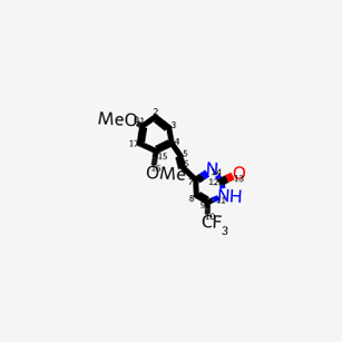 COc1ccc(C=Cc2cc(C(F)(F)F)[nH]c(=O)n2)c(OC)c1